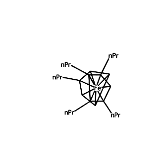 CCC[C]12[CH]3[CH]4[CH]5[CH]1[Fe]45321678[CH]2[C]1(CCC)[C]6(CCC)[C]7(CCC)[C]28CCC